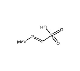 CSN=CS(=O)(=O)O